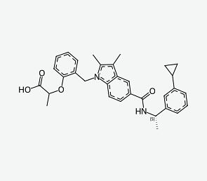 Cc1c(C)n(Cc2ccccc2OC(C)C(=O)O)c2ccc(C(=O)N[C@@H](C)c3cccc(C4CC4)c3)cc12